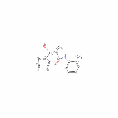 C/C(C(=O)Nc1ccccc1C)=C(\O)c1ccccc1